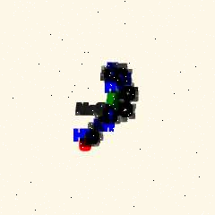 COc1nc(-c2cccc(-c3cccc(Nc4nccc5nccnc45)c3Cl)c2Cl)cnc1CNC[C@@H]1CCC(=O)N1